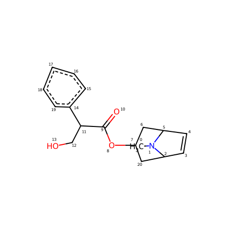 CN1C2C=CC1CC(OC(=O)C(CO)c1ccccc1)C2